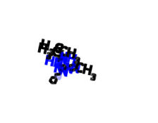 CN1CCN(c2cc(Nc3cc(C(C)(C)C)[nH]n3)nc(/C=C/c3ccccc3)n2)CC1